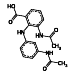 CC(=O)Nc1cccc(Nc2c(NC(C)=O)cccc2C(=O)O)c1